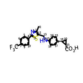 Cc1nc(-c2ccc(C(F)(F)F)cc2)sc1CNc1ccc([C@H]2C[C@H]2C(=O)O)cc1